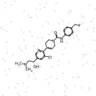 CN(C)C[C@@H](O)c1cnc(C2=CCN(C(=O)Nc3ccc(CF)cc3)CC2)c(Cl)c1